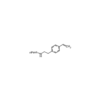 C=Cc1ccc(CCNCCCCC)cc1